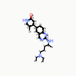 CCN(CC)CCCC(C)Nc1ncc2cc(-c3cc(=O)[nH]cc3C)ccc2n1